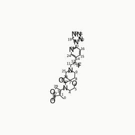 CC1=C(N2CCOC3(CCN(C[C@@H](F)c4ccc(-n5cnnn5)nc4)CC3)C2=O)COC1=O